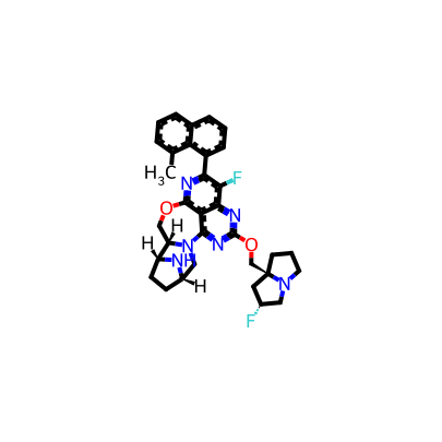 Cc1cccc2cccc(-c3nc4c5c(nc(OC[C@@]67CCCN6C[C@H](F)C7)nc5c3F)N3C[C@@H]5CC[C@@H](N5)[C@@H]3CO4)c12